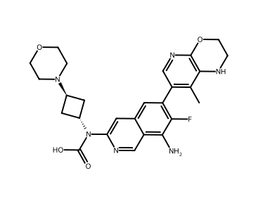 Cc1c(-c2cc3cc(N(C(=O)O)[C@H]4C[C@H](N5CCOCC5)C4)ncc3c(N)c2F)cnc2c1NCCO2